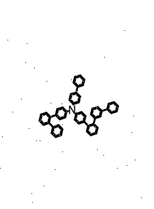 c1ccc(-c2ccc(N(c3ccc(-c4ccccc4-c4ccccc4)cc3)c3ccc(-c4ccccc4-c4cccc(-c5ccccc5)c4)cc3)cc2)cc1